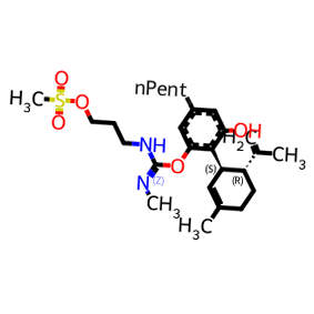 C=C(C)[C@@H]1CCC(C)=C[C@H]1c1c(O)cc(CCCCC)cc1O/C(=N\C)NCCCOS(C)(=O)=O